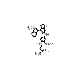 CCN(CCN(C)C)c1ccc(Nc2nc3c(c(-c4cn(C)c5ccccc45)n2)CCO3)cc1NC(C)=O